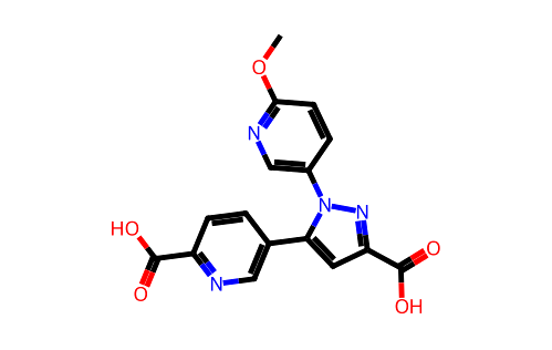 COc1ccc(-n2nc(C(=O)O)cc2-c2ccc(C(=O)O)nc2)cn1